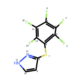 Fc1c(F)c(F)c(Sc2cc[nH]n2)c(F)c1F